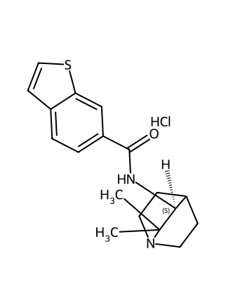 CC1(C)[C@@H](NC(=O)c2ccc3ccsc3c2)C2CCN1CC2.Cl